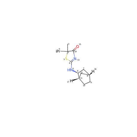 CC(C)C1(C)SC(N[C@H]2C[C@@H]3CC[C@H]2C3)=NC1=O